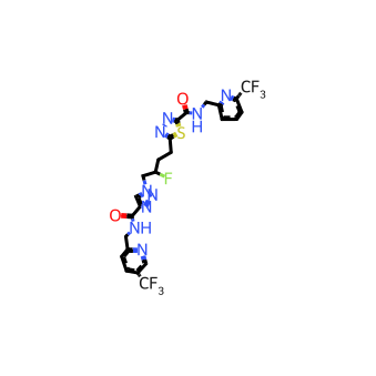 O=C(NCc1ccc(C(F)(F)F)cn1)c1cn(CC(F)CCc2nnc(C(=O)NCc3cccc(C(F)(F)F)n3)s2)nn1